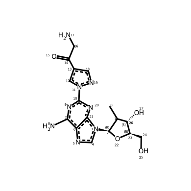 CC1[C@H](n2cnc3c(N)nc(-n4cc(C(=O)CN)cn4)nc32)O[C@H](CO)[C@H]1O